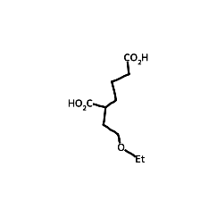 CCOCCC(CCCC(=O)O)C(=O)O